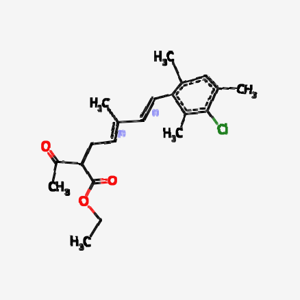 CCOC(=O)C(C/C=C(C)/C=C/c1c(C)cc(C)c(Cl)c1C)C(C)=O